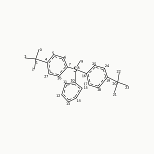 CC(C)(C)c1ccc(S(C)(c2ccccc2)c2ccc(C(C)(C)C)cc2)cc1